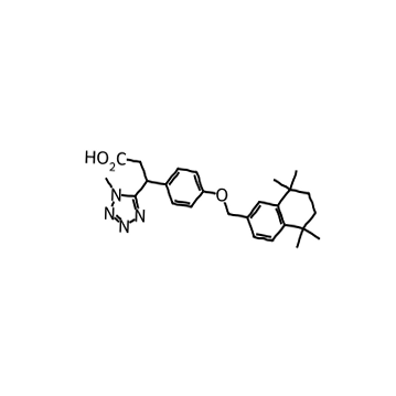 Cn1nnnc1C(CC(=O)O)c1ccc(OCc2ccc3c(c2)C(C)(C)CCC3(C)C)cc1